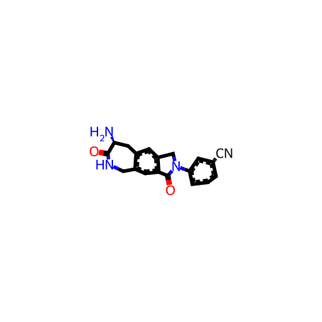 N#Cc1cccc(N2Cc3cc4c(cc3C2=O)CNC(=O)[C@@H](N)C4)c1